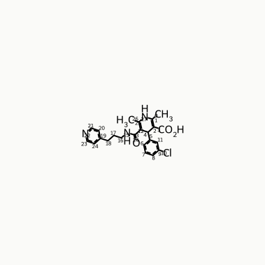 CC1=C(C(=O)O)C(c2cccc(Cl)c2)C(C(=O)NCCCc2ccncc2)=C(C)N1